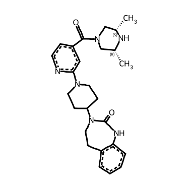 C[C@@H]1CN(C(=O)c2ccnc(N3CCC(N4CCc5ccccc5NC4=O)CC3)c2)C[C@H](C)N1